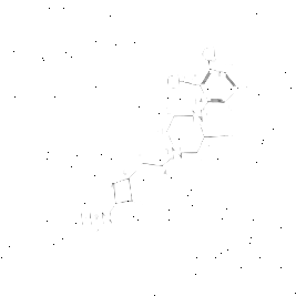 CC1CN(CCC2CC(N)C2)CCN1c1cccc(Cl)c1Cl